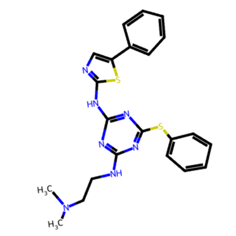 CN(C)CCNc1nc(Nc2ncc(-c3ccccc3)s2)nc(Sc2ccccc2)n1